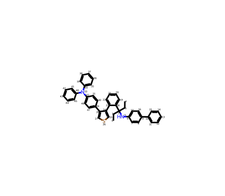 CCC(CC)(Nc1ccc(-c2ccccc2)cc1)c1ccccc1-c1cscc1-c1ccc(N(c2ccccc2)c2ccccc2)cc1